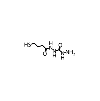 NNC(=O)NNC(=O)CCCS